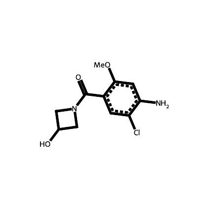 COc1cc(N)c(Cl)cc1C(=O)N1CC(O)C1